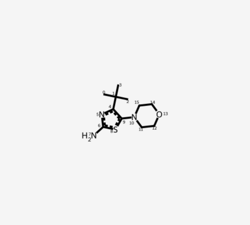 CC(C)(C)c1nc(N)sc1N1CCOCC1